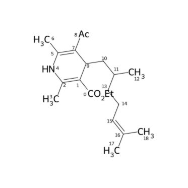 CCOC(=O)C1=C(C)NC(C)=C(C(C)=O)C1CC(C)CCC=C(C)C